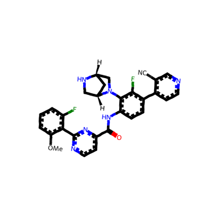 COc1cccc(F)c1-c1nccc(C(=O)Nc2ccc(-c3ccncc3C#N)c(F)c2N2C[C@@H]3C[C@H]2CN3)n1